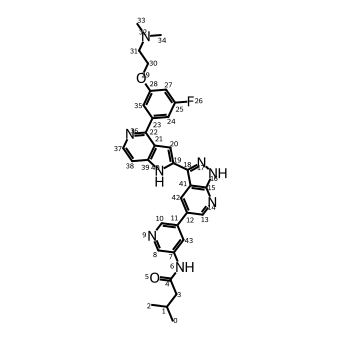 CC(C)CC(=O)Nc1cncc(-c2cnc3[nH]nc(-c4cc5c(-c6cc(F)cc(OCCN(C)C)c6)nccc5[nH]4)c3c2)c1